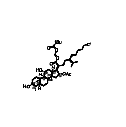 CC(=O)O[C@H]1C[C@@]2(C)[C@H](C[C@@H](O)[C@@H]3[C@@]4(C)CC[C@@H](O)[C@@H](C)[C@H]4CC[C@@]32C)C1=C(CCC(C=CCCCCl)=C(C)C)C(=O)OCOC(=O)C(C)(C)C